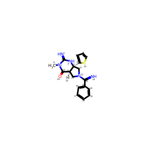 CN1C(=N)N[C@@]2(c3cccs3)CN(C(=N)c3ccccc3)C[C@H]2C1=O